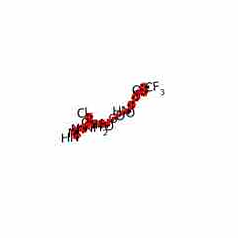 NC1(C(=O)N[C@@H](CCN2CCN(C(=O)CCOCCOCCNC(=O)c3ccc(C4CCN(C(=O)c5cccc6c(C(F)(F)F)cccc56)CC4)cc3)CC2)c2ccc(Cl)cc2)CCN(c2ncnc3[nH]ccc23)CC1